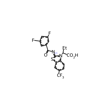 CCC(C(=O)O)n1/c(=N/C(=O)c2cc(F)cc(F)c2)sc2cc(C(F)(F)F)ccc21